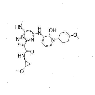 CNc1cc(NC2=CC=CN([C@H]3CC[C@H](OC)CC3)C2O)nc2c(C(=O)N[C@H]3C[C@@H]3OC)cnn12